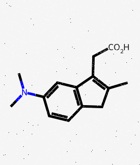 CC1=C(CC(=O)O)c2cc(N(C)C)ccc2C1